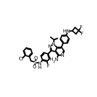 CC(C)n1nc(-c2ccc(NS(=O)(=O)Cc3ccccc3Cl)c(F)c2)c2c(N)ncc(-c3ccc(NC4CC(F)(F)C4)cc3)c21